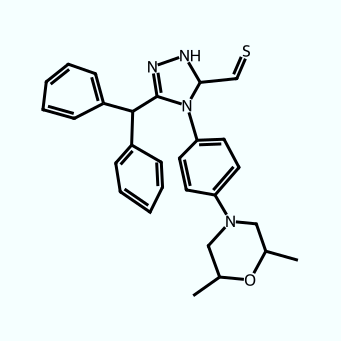 CC1CN(c2ccc(N3C(C(c4ccccc4)c4ccccc4)=NNC3C=S)cc2)CC(C)O1